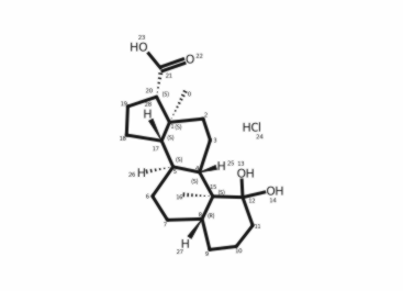 C[C@]12CC[C@H]3[C@@H](CC[C@H]4CCCC(O)(O)[C@@]43C)[C@@H]1CC[C@@H]2C(=O)O.Cl